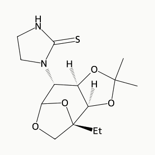 CC[C@@]12COC(O1)[C@H](N1CCNC1=S)[C@H]1OC(C)(C)O[C@H]12